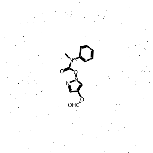 CN(C(=O)On1cc(OC=O)cn1)c1ccccc1